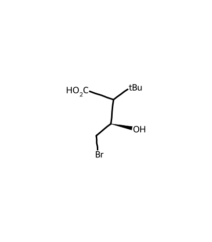 CC(C)(C)C(C(=O)O)[C@@H](O)CBr